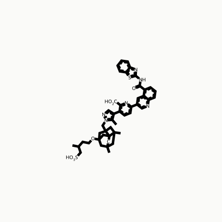 Cc1c(-c2ccc(-c3cnc4cccc(C(=O)Nc5nc6ccccc6s5)c4c3)nc2C(=O)O)cnn1CC12CC3(OCCC(C)CS(=O)(=O)O)CC4(C)CC(C)(C1)C2(C4)C3